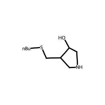 CCCCSCC1CNCC1O